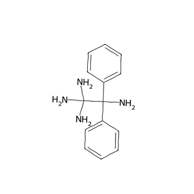 NC(N)(N)C(N)(c1ccccc1)c1ccccc1